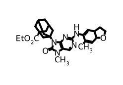 CCOC(=O)C12CC3CC(C1)CC(n1c(=O)n(C)c4cnc(NC5=CC6CCOC6C=C5C)nc41)(C3)C2